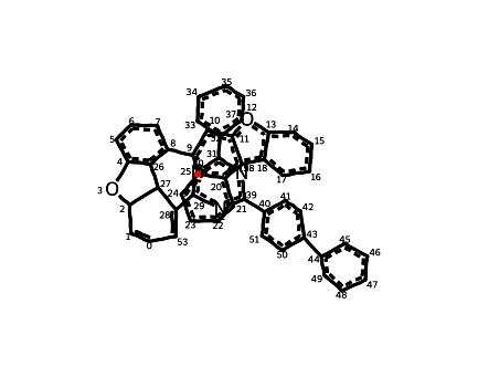 C1=CC2Oc3cccc(-c4cc5oc6ccccc6c5c5ccccc45)c3C2C(c2nc(-c3ccccc3)nc(-c3ccc(-c4ccccc4)cc3)n2)=C1